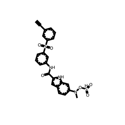 C#Cc1cccc(S(=O)(=O)c2cccc(NC(=O)c3cc4ccc(N(C)O[SH](=O)=O)cc4[nH]3)c2)c1